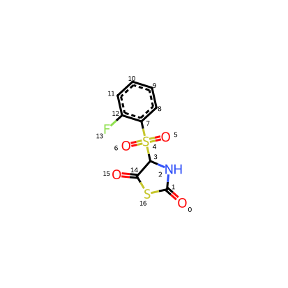 O=C1NC(S(=O)(=O)c2ccccc2F)C(=O)S1